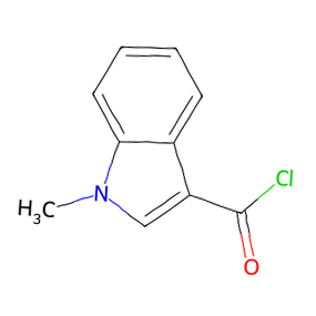 Cn1cc(C(=O)Cl)c2ccccc21